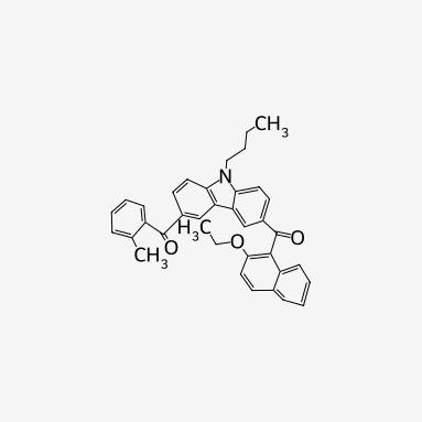 CCCCn1c2ccc(C(=O)c3ccccc3C)cc2c2cc(C(=O)c3c(OCC)ccc4ccccc34)ccc21